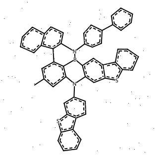 Cc1cc2c3c(c1)N(c1ccc4c(c1)sc1ccccc14)c1cc4sc5ccccc5c4cc1B3N(c1ccc(-c3ccccc3)cc1)c1ccc3ccccc3c1-2